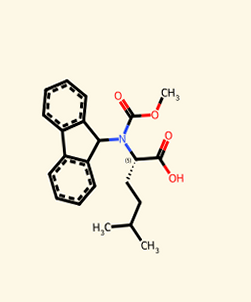 COC(=O)N(C1c2ccccc2-c2ccccc21)[C@@H](CCC(C)C)C(=O)O